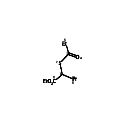 CCOC(=O)C(SC(=O)CC)C(C)C